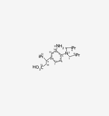 CC(C)CN(CC(C)C)c1ccc(C(CC(=O)O)C(C)C)cc1N